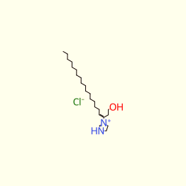 CCCCCCCCCCCCCCCCC=C(CCO)[N+]1=CNCC1.[Cl-]